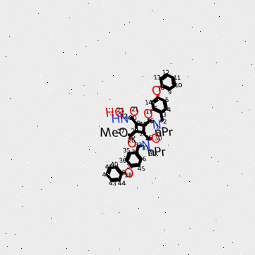 CCCN(Cc1ccc(Oc2ccccc2)cc1)C(=O)C1C(C(=O)NO)C(C(=O)OC)C1C(=O)N(CCC)Cc1ccc(Oc2ccccc2)cc1